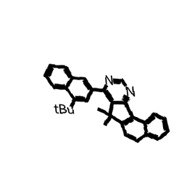 CC(C)(C)c1cc(-c2ncnc3c2C(C)(C)c2ccc4ccccc4c2-3)cc2ccccc12